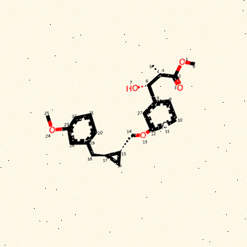 COC(=O)[C@@H](C)[C@@H](O)c1cccc(OC[C@@H]2C[C@H]2Cc2cccc(OC)c2)c1